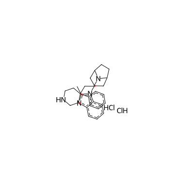 Cc1nc2ccccc2n1C1CC2CCC(C1)N2CCC1(c2ccccc2)CCNCC1.Cl.Cl